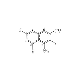 Cc1c(C(=O)O)nc2cc(Cl)cc(Cl)c2c1N